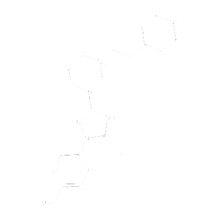 COc1ccc(-n2nc(C3CN(CCC4CCCCC4)CCO3)[nH]c2=O)cc1